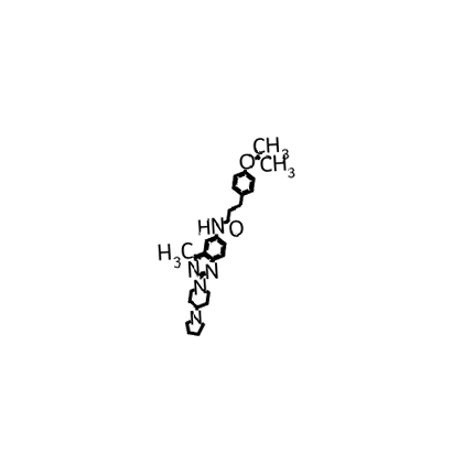 Cc1nc(N2CCC(N3CCCC3)CC2)nc2ccc(NC(=O)CCc3ccc(OC(C)C)cc3)cc12